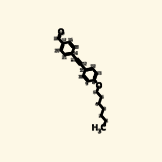 CCCCCCCOc1ccc(C#Cc2ccc(C=O)cc2)cc1